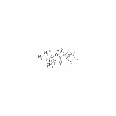 CC(C)C(C)(C)OC(=O)C1(C)CC2CCC1C2